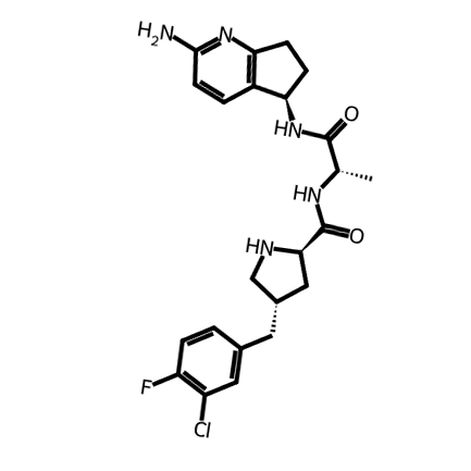 C[C@H](NC(=O)[C@H]1C[C@H](Cc2ccc(F)c(Cl)c2)CN1)C(=O)N[C@@H]1CCc2nc(N)ccc21